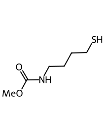 COC(=O)NCCCCS